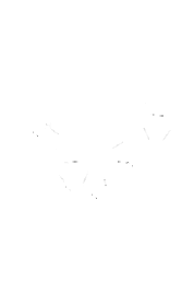 Cn1cc(-c2cnc3[nH]cc(-c4cc(C(C)(O)c5ccccc5Cl)on4)c3c2)cn1